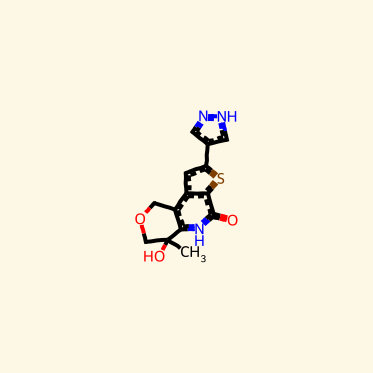 CC1(O)COCc2c1[nH]c(=O)c1sc(-c3cn[nH]c3)cc21